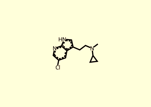 CN(CCc1c[nH]c2ncc(Cl)cc12)C1CC1